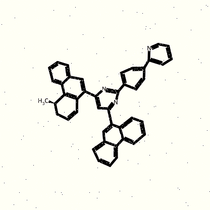 C[C@@H]1CC=Cc2c(-c3cc(-c4cc5ccccc5c5ccccc45)nc(-c4ccc(-c5ccccn5)cc4)n3)cc3ccccc3c21